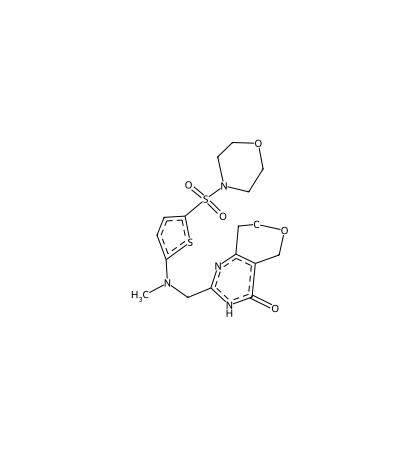 CN(Cc1nc2c(c(=O)[nH]1)COCC2)c1ccc(S(=O)(=O)N2CCOCC2)s1